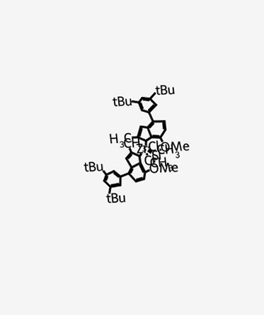 COc1ccc(-c2cc(C(C)(C)C)cc(C(C)(C)C)c2)c2c1[CH]([Zr]([Cl])([Cl])([CH]1C(C)=Cc3c(-c4cc(C(C)(C)C)cc(C(C)(C)C)c4)ccc(OC)c31)=[Si](C)C)C(C)=C2